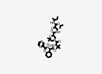 CCC[C@H](NC(=O)C1CN(C(=O)[C@@H](NC(=O)C(NC(=O)c2cnccn2)C2CCCCC2)C(C)(C)C)CC(C)(C)O1)C(=O)C(=O)NC(C)CC